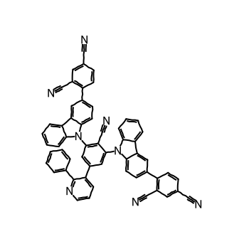 N#Cc1ccc(-c2ccc3c(c2)c2ccccc2n3-c2cc(-c3cccnc3-c3ccccc3)cc(-n3c4ccccc4c4cc(-c5ccc(C#N)cc5C#N)ccc43)c2C#N)c(C#N)c1